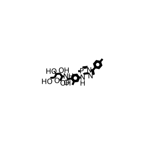 Cc1ccc(-c2cnc3n2C=CP(C)C3Nc2ccc(C(=O)NC3C(O)[C@H](O)C(CO)O[C@@H]3O)c(C)c2)cc1